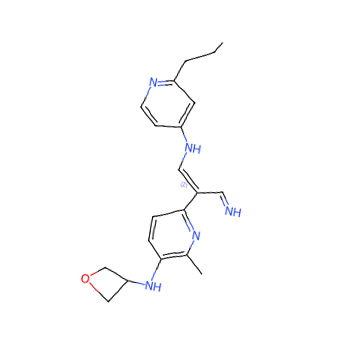 CCCc1cc(N/C=C(\C=N)c2ccc(NC3COC3)c(C)n2)ccn1